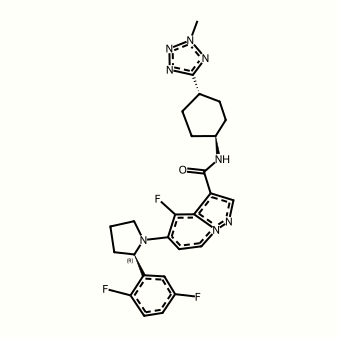 Cn1nnc([C@H]2CC[C@H](NC(=O)c3cnn4ccc(N5CCC[C@@H]5c5cc(F)ccc5F)c(F)c34)CC2)n1